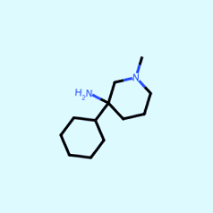 CN1CCCC(N)(C2CCCCC2)C1